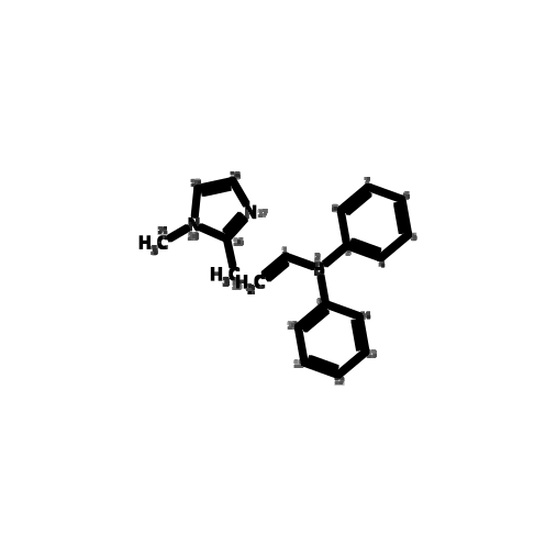 C=CB(c1ccccc1)c1ccccc1.Cc1nccn1C